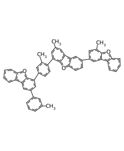 Cc1cccc(-c2cc(-c3ccc(-c4cc(C)cc5c4oc4ccc(-c6cc(C)c7oc8ccccc8c7c6)cc45)c(C)c3)c3oc4ccccc4c3c2)c1